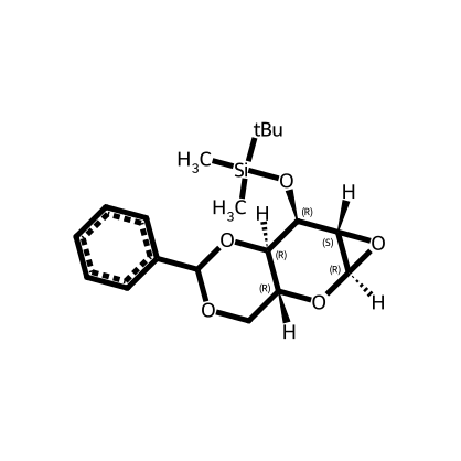 CC(C)(C)[Si](C)(C)O[C@H]1[C@@H]2O[C@H]2O[C@@H]2COC(c3ccccc3)O[C@@H]12